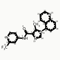 Cc1c(C(=O)Nc2ccnc(C(F)(F)F)c2)ncn1-c1cccc2ncccc12